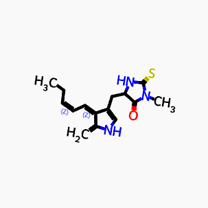 C=c1[nH]cc(CC2NC(=S)N(C)C2=O)/c1=C/C=C\CC